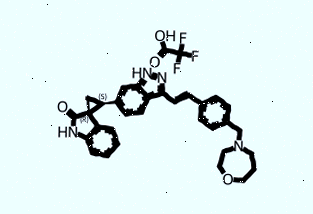 O=C(O)C(F)(F)F.O=C1Nc2ccccc2[C@]12C[C@H]2c1ccc2c(C=Cc3ccc(CN4CCCOCC4)cc3)n[nH]c2c1